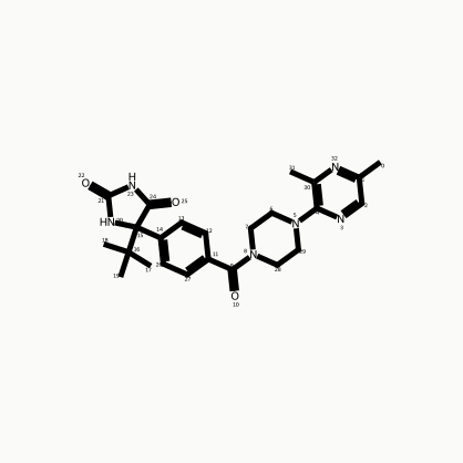 Cc1cnc(N2CCN(C(=O)c3ccc(C4(C(C)(C)C)NC(=O)NC4=O)cc3)CC2)c(C)n1